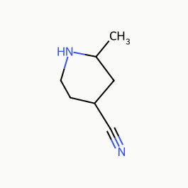 CC1CC(C#N)CCN1